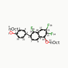 CCCCCCCCOc1ccc(-c2ccc3c(OCCCCCCCC)c(F)c(F)cc3c2F)cc1